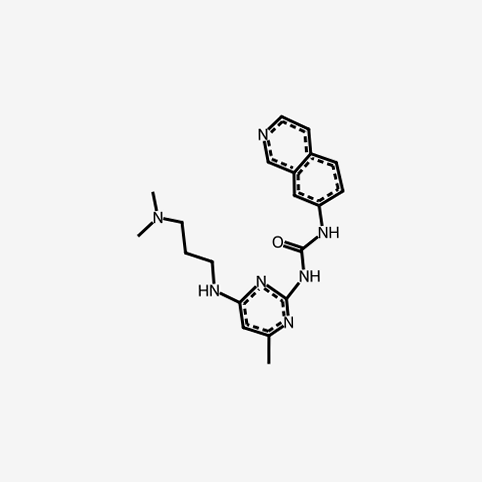 Cc1cc(NCCCN(C)C)nc(NC(=O)Nc2ccc3ccncc3c2)n1